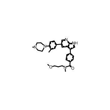 COCCCN(C)C(=O)c1ccc(-c2c[nH]c3ncc(-c4ccc(N5CCN(C)CC5)c(C)c4)cc23)cc1